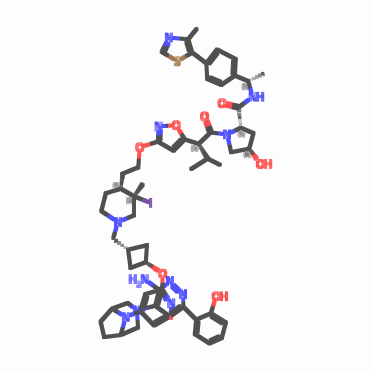 Cc1ncsc1-c1ccc([C@H](C)NC(=O)[C@@H]2C[C@@H](O)CN2C(=O)[C@H](c2cc(OCC[C@@H]3CCN(C[C@H]4C[C@H](Oc5cc(N6C7CCC6CN(c6cc(-c8ccccc8O)nnc6N)C7)ccn5)C4)C[C@@]3(C)I)no2)C(C)C)cc1